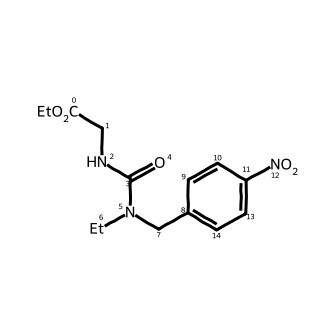 CCOC(=O)CNC(=O)N(CC)Cc1ccc([N+](=O)[O-])cc1